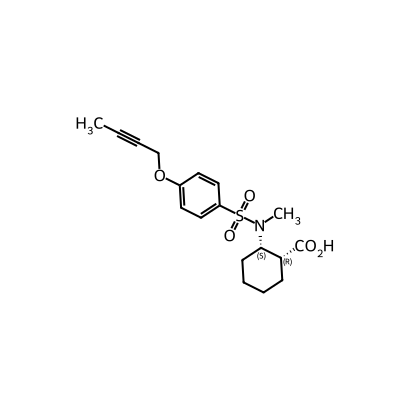 CC#CCOc1ccc(S(=O)(=O)N(C)[C@H]2CCCC[C@H]2C(=O)O)cc1